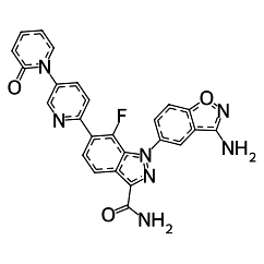 NC(=O)c1nn(-c2ccc3onc(N)c3c2)c2c(F)c(-c3ccc(-n4ccccc4=O)cn3)ccc12